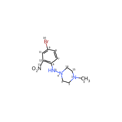 CN1CCN(Nc2ccc(Br)cc2[N+](=O)[O-])CC1